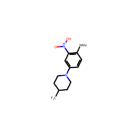 CNc1ccc(N2CCC(C(F)(F)F)CC2)cc1[NH+]([O-])O